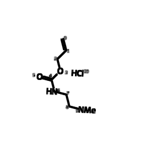 C=CCOC(=O)NCCNC.Cl